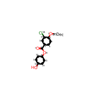 CCCCCCCCCCOc1ccc(C(=O)Oc2ccc(O)cc2)cc1Cl